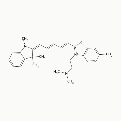 Cc1ccc2c(c1)sc(/C=C/C=C/C=C1/N(C)c3ccccc3C1(C)C)[n+]2CCN(C)C